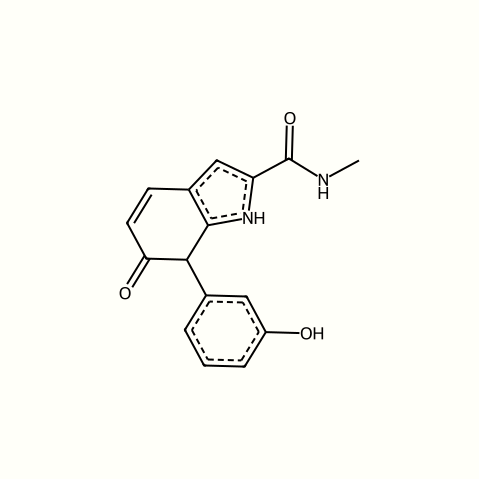 CNC(=O)c1cc2c([nH]1)C(c1cccc(O)c1)C(=O)C=C2